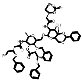 CCC(=O)O[C@@H](CC(=O)NC1[C@H](OCC2O[C@H](C)C(NC(=O)C[C@@H](CC(C)C)OCc3ccccc3)[C@@H](OC(=O)C[C@@H](CC)OCc3ccccc3)[C@@H]2OCc2ccccc2)OC2COC(c3ccccc3)O[C@H]2[C@@H]1O)CC(C)C